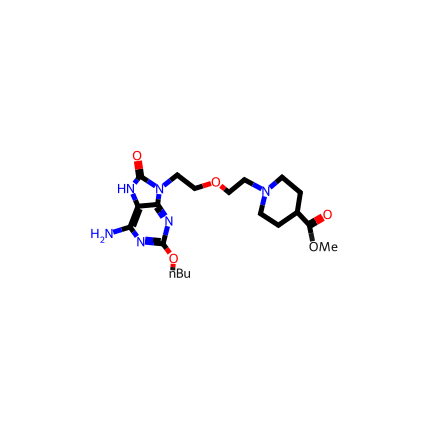 CCCCOc1nc(N)c2[nH]c(=O)n(CCOCCN3CCC(C(=O)OC)CC3)c2n1